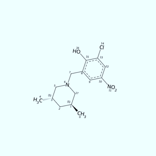 C[C@H]1C[C@H](C)CN(Cc2cc([N+](=O)[O-])cc(Cl)c2O)C1